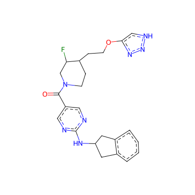 O=C(c1cnc(NC2Cc3ccccc3C2)nc1)N1CCC(CCOc2c[nH]nn2)C(F)C1